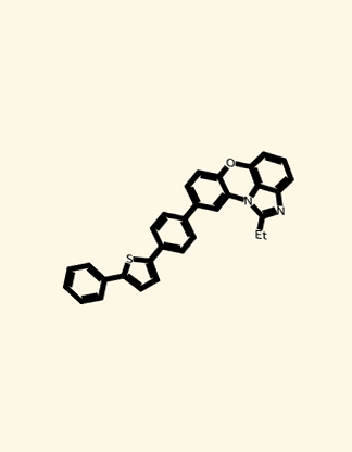 CCc1nc2cccc3c2n1-c1cc(-c2ccc(-c4ccc(-c5ccccc5)s4)cc2)ccc1O3